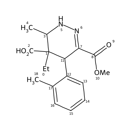 CCC1(C(=O)O)C(C)NN=C(C(=O)OC)C1c1ccccc1C